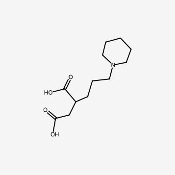 O=C(O)CC(CCCN1CCCCC1)C(=O)O